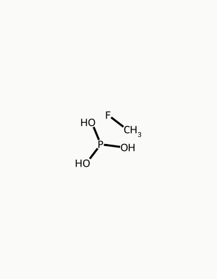 CF.OP(O)O